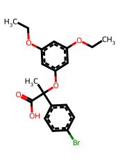 CCOc1cc(OCC)cc(OC(C)(C(=O)O)c2ccc(Br)cc2)c1